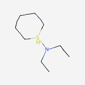 CCN(CC)[SH]1CCCCC1